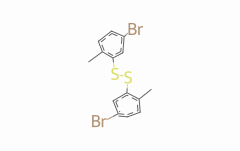 Cc1ccc(Br)cc1SSc1cc(Br)ccc1C